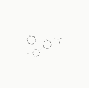 O=[SH](=O)Cc1ccc(-n2cnc(Cl)c2-c2ccc(F)cc2)nc1